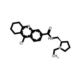 CCN1CCC[C@@H]1CNC(=O)c1ccc2c(Cl)c3c(nc2c1)CCCC3